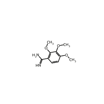 COc1ccc(C(=N)N)c(OC)c1OC